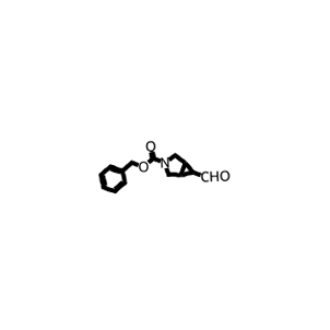 O=CC1C2CN(C(=O)OCc3ccccc3)CC12